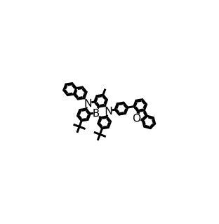 Cc1cc2c3c(c1)N(c1ccc4ccccc4c1)c1ccc(C(C)(C)C)cc1B3c1cc(C(C)(C)C)ccc1N2c1ccc(-c2cccc3c2oc2ccccc23)cc1